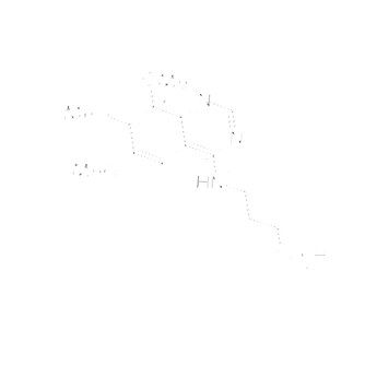 COc1cc2c(NCCCC(=O)O)ncnc2c(OC)c1OC